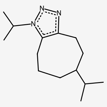 CC(C)C1CCCc2c(nnn2C(C)C)CC1